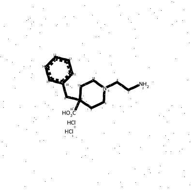 Cl.Cl.NCCN1CCC(Cc2ccccc2)(C(=O)O)CC1